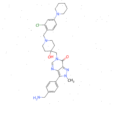 Cn1nc2c(=O)n(CC3(O)CCN(Cc4ccc(N5CCCCC5)cc4Cl)CC3)cnc2c1-c1ccc(CN)cc1